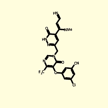 CN/C(=C\C=N)c1cc(Cn2cnc(C(F)(F)F)c(Oc3cc(Cl)cc(C#N)c3)c2=O)n[nH]c1=O